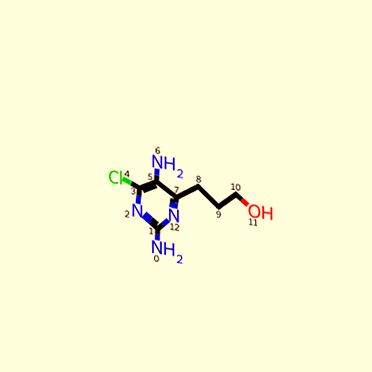 Nc1nc(Cl)c(N)c(CCCO)n1